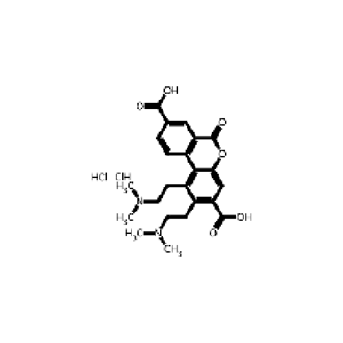 CN(C)CCc1c(C(=O)O)cc2oc(=O)c3cc(C(=O)O)ccc3c2c1CCN(C)C.Cl.Cl